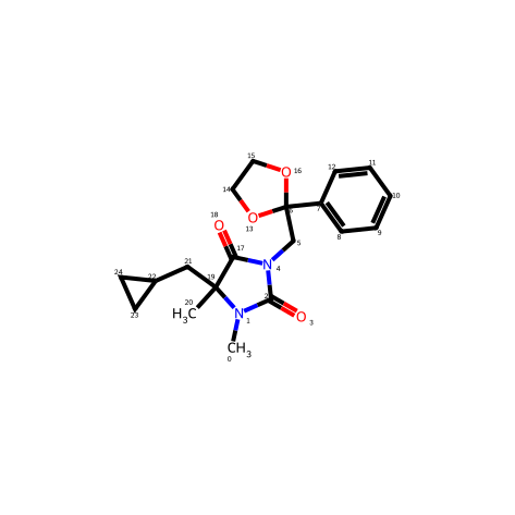 CN1C(=O)N(CC2(c3ccccc3)OCCO2)C(=O)C1(C)CC1CC1